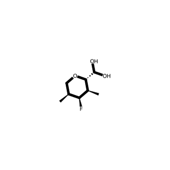 C[C@H]1[C@@H](F)[C@@H](C)CO[C@@H]1C(O)O